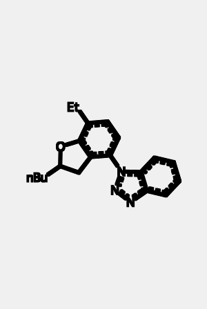 CCCCC1Cc2c(-n3nnc4ccccc43)ccc(CC)c2O1